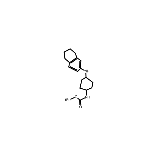 CC(C)(C)OC(=O)NC1CCC(Nc2ccc3c(c2)CCCC3)CC1